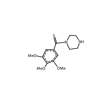 COc1cc(C(=S)N2CCNCC2)cc(OC)c1OC